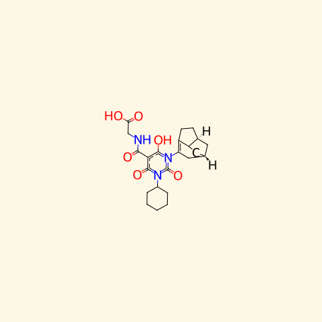 O=C(O)CNC(=O)c1c(O)n(C2=C3CC[C@H]4C[C@H](C2)CC34)c(=O)n(C2CCCCC2)c1=O